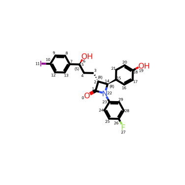 O=C1[C@H](CC[C@H](O)c2ccc(I)cc2)[C@@H](C2C=CC(O)=CC2)N1c1ccc(F)cc1